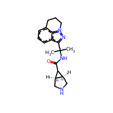 CC(C)(NC(=O)C1[C@H]2CNC[C@@H]12)c1nn2c3c(cccc13)CCC2